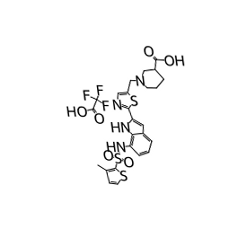 Cc1ccsc1S(=O)(=O)Nc1cccc2cc(-c3ncc(CN4CCCC(C(=O)O)C4)s3)[nH]c12.O=C(O)C(F)(F)F